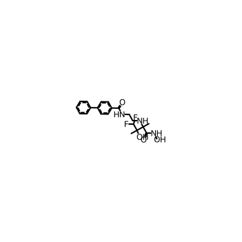 CC(NCCNC(=O)c1ccc(-c2ccccc2)cc1)(C(=O)NO)C(C)(O)C(F)F